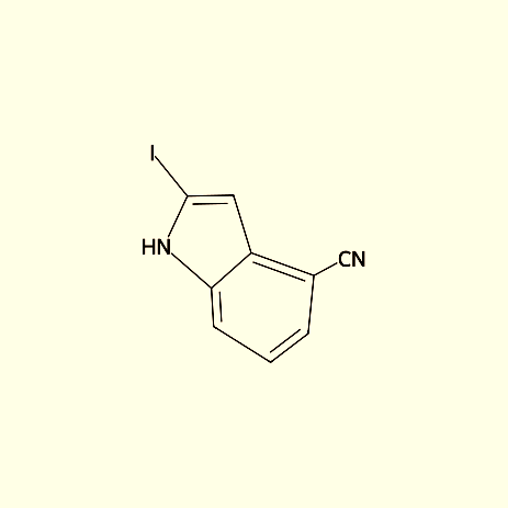 N#Cc1cccc2[nH]c(I)cc12